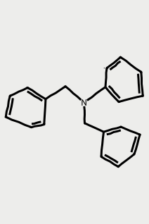 [c]1ccccc1N(Cc1ccccc1)Cc1ccccc1